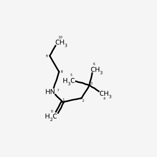 C=C(CC(C)(C)C)NCCC